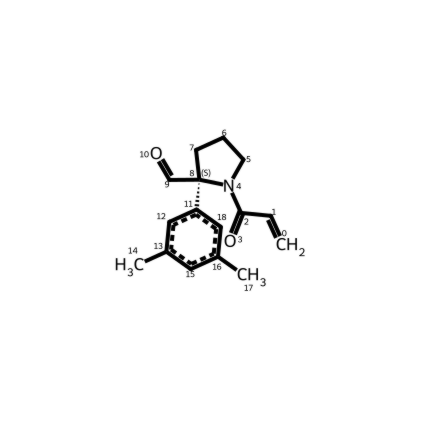 C=CC(=O)N1CCC[C@@]1(C=O)c1cc(C)cc(C)c1